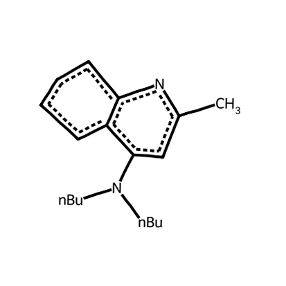 CCCCN(CCCC)c1cc(C)nc2ccccc12